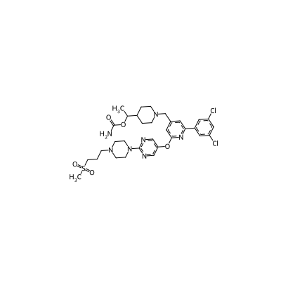 CC(OC(N)=O)C1CCN(Cc2cc(Oc3cnc(N4CCN(CCCS(C)(=O)=O)CC4)nc3)nc(-c3cc(Cl)cc(Cl)c3)c2)CC1